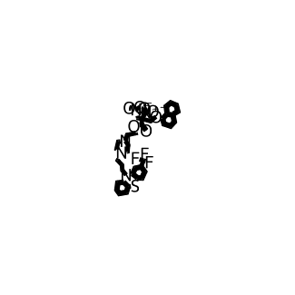 O=C(OCCN1CCN(CCCN2c3ccccc3Sc3ccc(C(F)(F)F)cc32)CC1)C(COc1cccc2ccccc12)(C[N+](=O)[O-])[N+](=O)[O-]